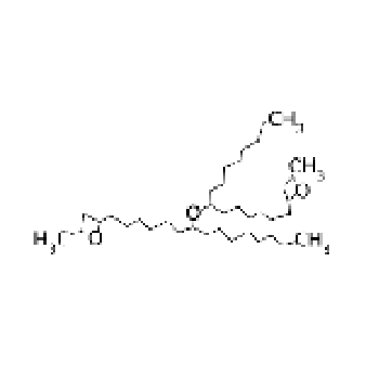 CCCCCCCCC(CCCCCCC1CC(C)O1)OC(CCCCCCCC)CCCCCCC1CC(C)O1